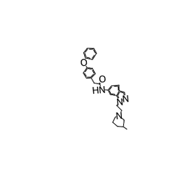 CC1CCCN(CCn2ncc3ccc(NC(=O)Cc4ccc(Oc5ccccc5)cc4)cc32)C1